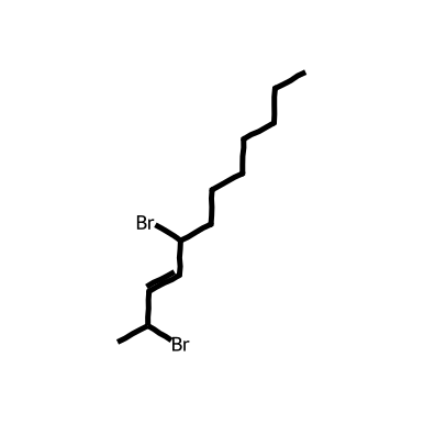 CCCCCCCC(Br)/C=C/C(C)Br